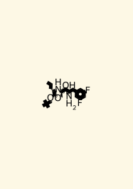 CCC[C@@H]1N[C@@H]([C@@H](O)[C@@H](N)Cc2cc(F)cc(F)c2)CO[C@H]1OCC(C)(C)C